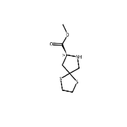 COC(=O)[C@@H]1CC2(CN1)SCCS2